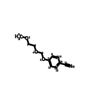 COCCOCOc1cnc(C#N)nc1